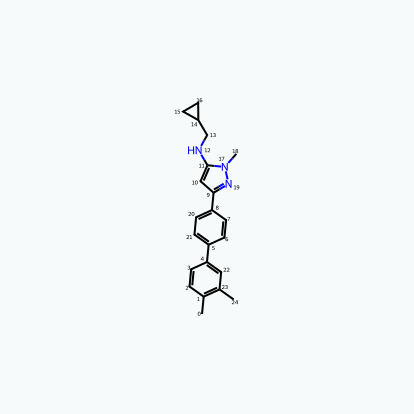 Cc1ccc(-c2ccc(-c3cc(NCC4CC4)n(C)n3)cc2)cc1C